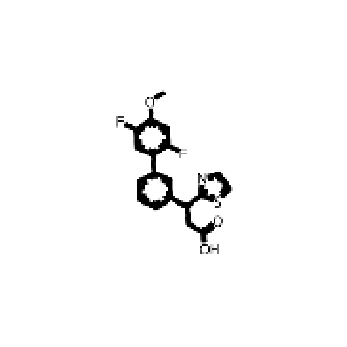 COc1cc(F)c(-c2cccc(C(CC(=O)O)c3nccs3)c2)cc1F